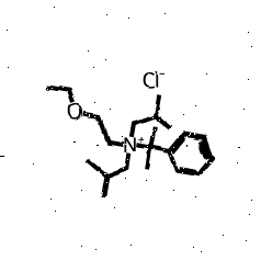 CCOCC[N+](CC(C)C)(CC(C)C)C(C)(C)c1ccccc1.[Cl-]